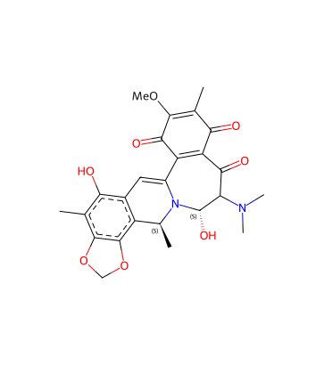 COC1=C(C)C(=O)C2=C(C1=O)C1=Cc3c(O)c(C)c4c(c3[C@H](C)N1[C@@H](O)C(N(C)C)C2=O)OCO4